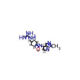 Cn1ncc2c(NC(=O)C3CCC(CNC(=N)N)CC3)ccnc21